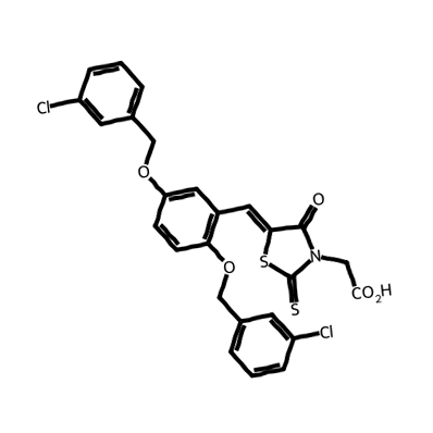 O=C(O)CN1C(=O)C(=Cc2cc(OCc3cccc(Cl)c3)ccc2OCc2cccc(Cl)c2)SC1=S